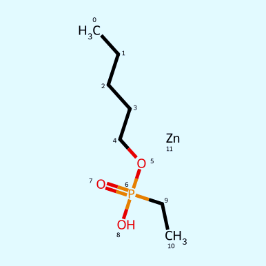 CCCCCOP(=O)(O)CC.[Zn]